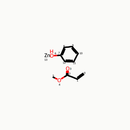 C=CC(=O)OC.Oc1ccccc1.[Zn]